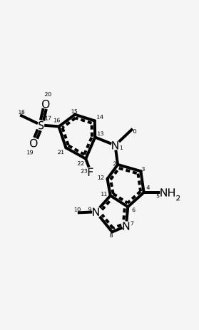 CN(c1cc(N)c2ncn(C)c2c1)c1ccc(S(C)(=O)=O)cc1F